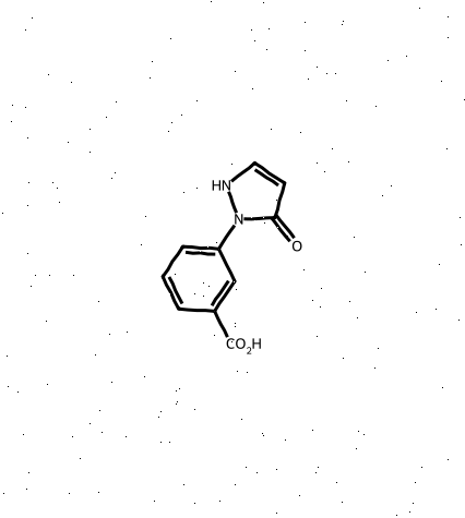 O=C(O)c1cccc(-n2[nH]ccc2=O)c1